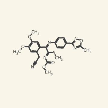 COC(=O)/N=C(SC)/C(=N\c1ccc(-c2noc(C)n2)cc1)c1cc(OC)c(OC)cc1CC#N